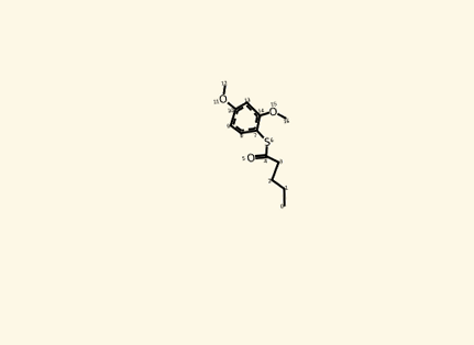 CCCCC(=O)Sc1ccc(OC)cc1OC